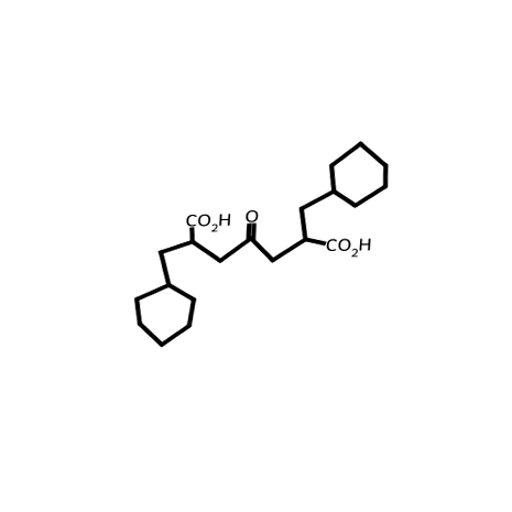 O=C(CC(CC1CCCCC1)C(=O)O)CC(CC1CCCCC1)C(=O)O